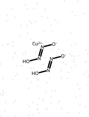 [Cu+2].[O-]N=NO.[O-]N=NO